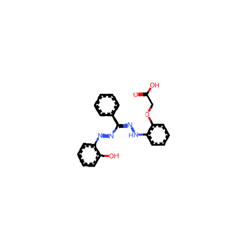 O=C(O)COc1ccccc1NN=C(N=Nc1ccccc1O)c1ccccc1